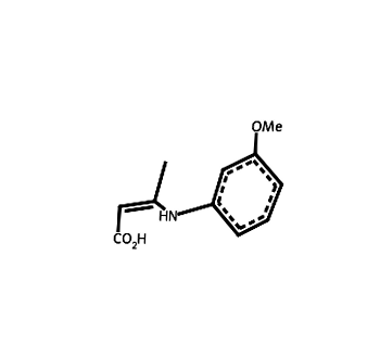 COc1cccc(N/C(C)=C\C(=O)O)c1